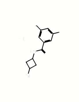 Cl.NC1CC(NC(=O)c2cc(F)cc(Cl)c2)C1